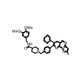 COc1ccc(CNC(=O)C2CCN(Cc3ccc(-c4nc5c(cnc6cc(C)nn65)cc4-c4ccccc4)cc3)CC2)cc1OC